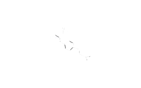 NC/C(=C/F)Cc1ccc(OCC2CC2)cc1